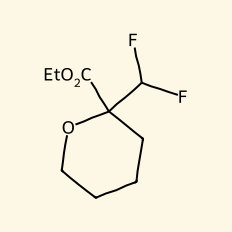 CCOC(=O)C1(C(F)F)CCCCO1